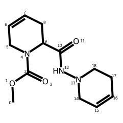 COC(=O)N1CC=CCC1C(=O)NN1CC=CCC1